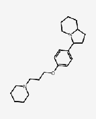 c1cc(C2CCC3CCCCN32)ccc1OCCCN1CCCCC1